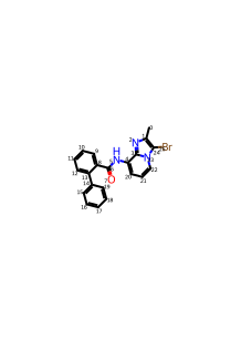 Cc1nc2c(NC(=O)c3ccccc3-c3ccccc3)cccn2c1Br